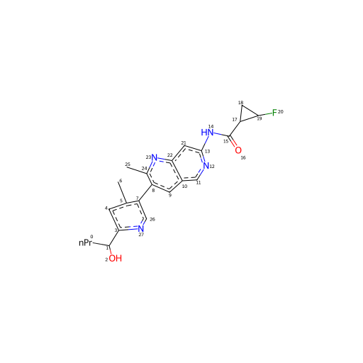 CCCC(O)c1cc(C)c(-c2cc3cnc(NC(=O)C4CC4F)cc3nc2C)cn1